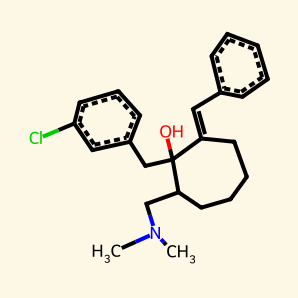 CN(C)CC1CCCCC(=Cc2ccccc2)C1(O)Cc1cccc(Cl)c1